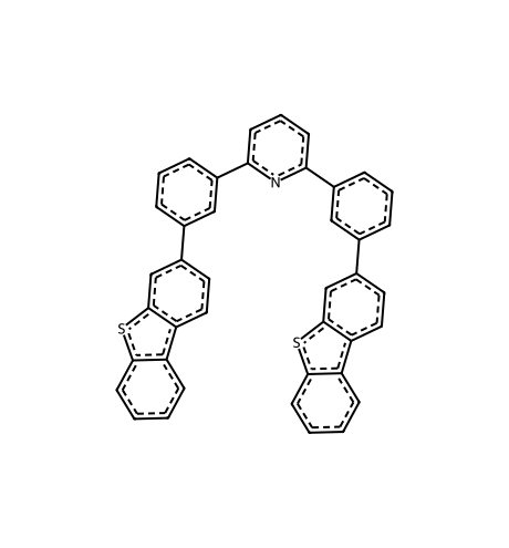 c1cc(-c2ccc3c(c2)sc2ccccc23)cc(-c2cccc(-c3cccc(-c4ccc5c(c4)sc4ccccc45)c3)n2)c1